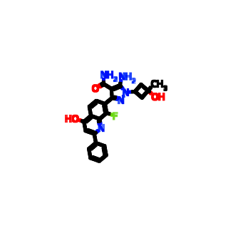 CC1(O)CC(n2nc(-c3ccc4c(O)cc(-c5ccccc5)nc4c3F)c(C(N)=O)c2N)C1